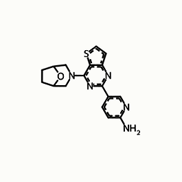 Nc1ccc(-c2nc(N3CC4CCC(C3)O4)c3sccc3n2)cn1